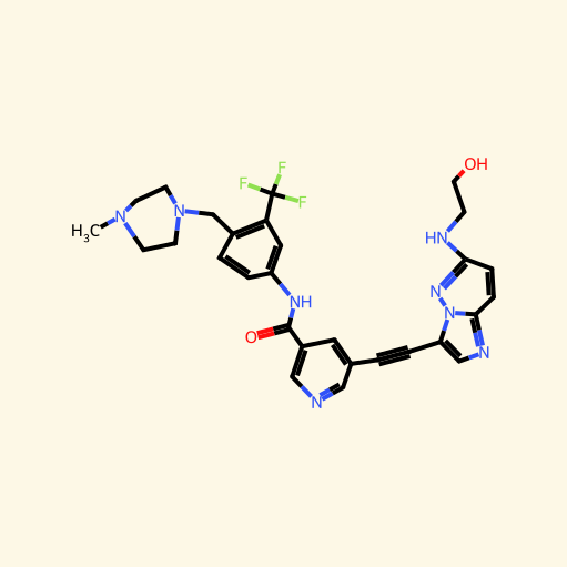 CN1CCN(Cc2ccc(NC(=O)c3cncc(C#Cc4cnc5ccc(NCCO)nn45)c3)cc2C(F)(F)F)CC1